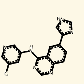 Clc1cncc(Nc2ncnc3ccc(-c4c[nH]cn4)cc23)c1